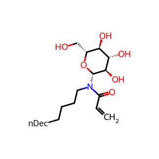 C=CC(=O)N(CCCCCCCCCCCCCC)[C@@H]1O[C@H](CO)[C@@H](O)[C@H](O)[C@H]1O